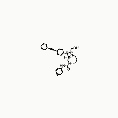 O=C(Nc1ccncc1)N1CCCCN2[C@H](CO)[C@H](c3ccc(C#Cc4ccccc4)cc3)[C@@H]2C1